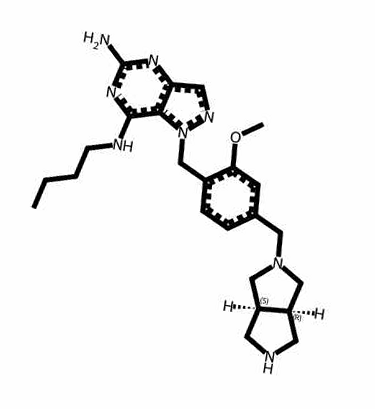 CCCCNc1nc(N)nc2cnn(Cc3ccc(CN4C[C@H]5CNC[C@H]5C4)cc3OC)c12